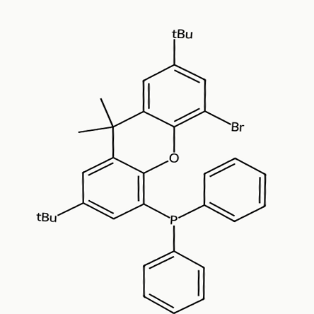 CC(C)(C)c1cc(Br)c2c(c1)C(C)(C)c1cc(C(C)(C)C)cc(P(c3ccccc3)c3ccccc3)c1O2